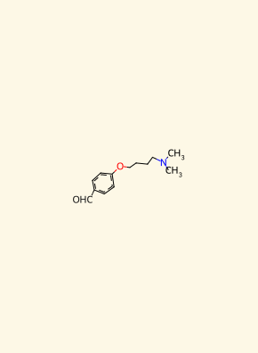 CN(C)CCCCOc1ccc(C=O)cc1